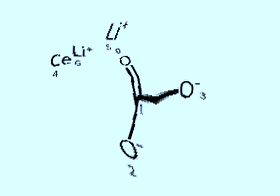 O=C([O-])[O-].[Ce].[Li+].[Li+]